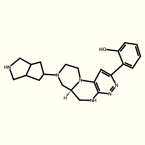 Oc1ccccc1-c1cc2c(nn1)NC[C@H]1CN(C3CC4CNCC4C3)CCN21